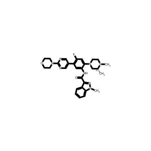 C[C@@H]1CN(c2cc(F)c(-c3cnc(N4CCOCC4)nc3)cc2NC(=O)c2nn(C)c3ccccc23)CCN1C